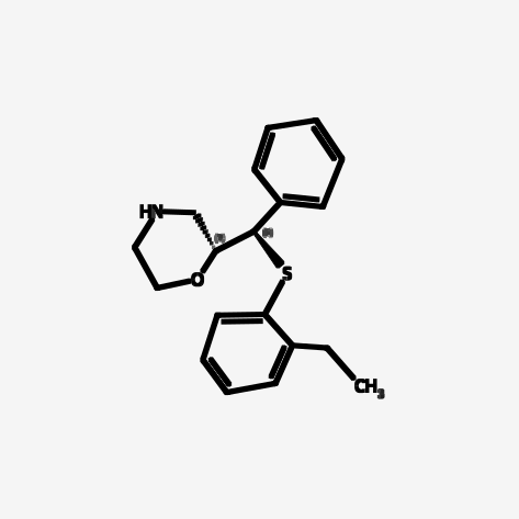 CCc1ccccc1S[C@H](c1ccccc1)[C@H]1CNCCO1